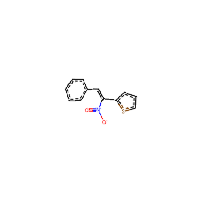 O=[N+]([O-])C(=Cc1ccccc1)c1cccs1